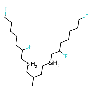 CC(CC[SiH2]CC(F)CCCCCF)C[SiH2]CC(F)CCCCCF